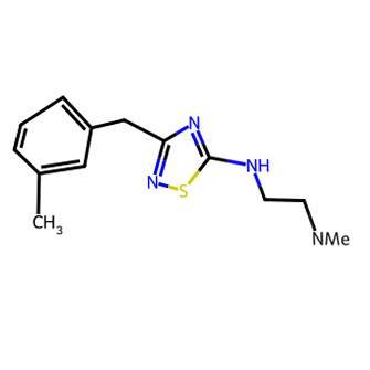 CNCCNc1nc(Cc2cccc(C)c2)ns1